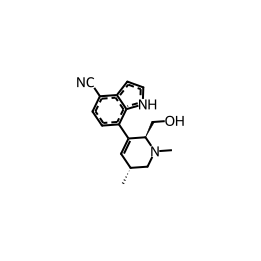 C[C@@H]1C=C(c2ccc(C#N)c3cc[nH]c23)[C@@H](CO)N(C)C1